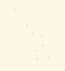 Cc1ccnc(C(C)C)c1-n1c(=O)nc(N2CC(C)N(C(=O)/C=C\CN(C)C)CC2C)c2cc(F)c(-c3ccccc3F)nc21